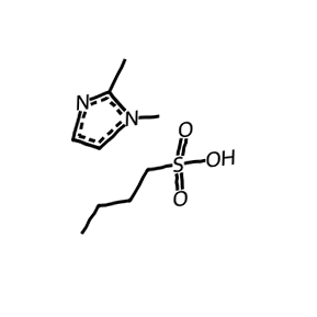 CCCCS(=O)(=O)O.Cc1nccn1C